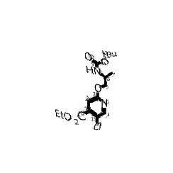 CCOC(=O)c1cc(OCC(C)NC(=O)OC(C)(C)C)ncc1Cl